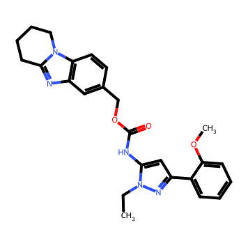 CCn1nc(-c2ccccc2OC)cc1NC(=O)OCc1ccc2c(c1)nc1n2CCCC1